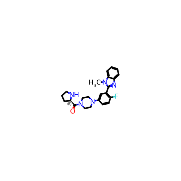 Cn1c(-c2cc(N3CCN(C(=O)[C@H]4CCCN4)CC3)ccc2F)nc2ccccc21